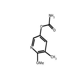 COc1ncc(OC(N)=O)cc1C